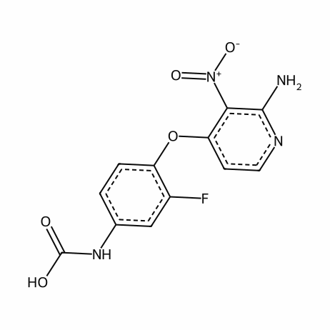 Nc1nccc(Oc2ccc(NC(=O)O)cc2F)c1[N+](=O)[O-]